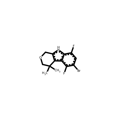 CC1(C)COCc2[nH]c3c(F)cc(Br)c(F)c3c21